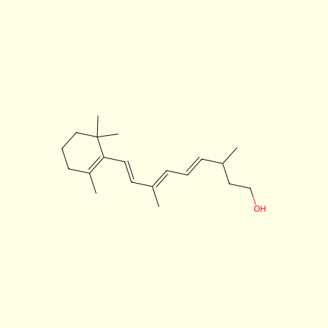 CC(C=CC1=C(C)CCCC1(C)C)=CC=CC(C)CCO